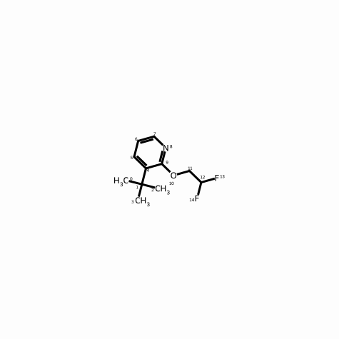 CC(C)(C)c1cccnc1OCC(F)F